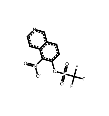 O=[N+]([O-])c1c(OS(=O)(=O)C(F)(F)F)ccc2cnccc12